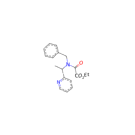 CCOC(=O)C(=O)N(Cc1ccccc1)C(C)c1ccccn1